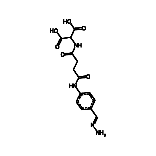 NN=Cc1ccc(NC(=O)CCC(=O)NC(C(=O)O)C(=O)O)cc1